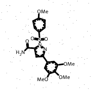 COc1ccc(S(=O)(=O)n2nc(-c3cc(OC)c(OC)c(OC)c3)cc2C(N)=O)cc1